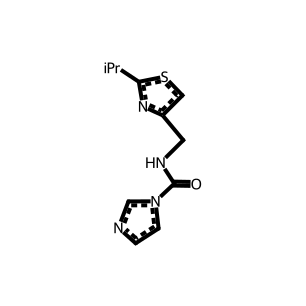 CC(C)c1nc(CNC(=O)n2ccnc2)cs1